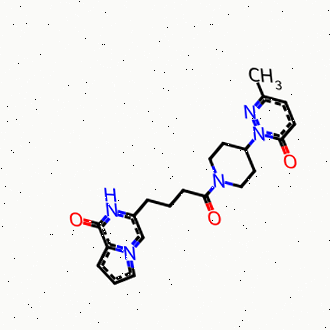 Cc1ccc(=O)n(C2CCN(C(=O)CCCc3cn4cccc4c(=O)[nH]3)CC2)n1